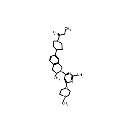 C=C(CC)N1CCC(c2ccc3c(c2)CN(c2cc(N4CCN(C)CC4)nc(N)n2)C(C)C3)CC1